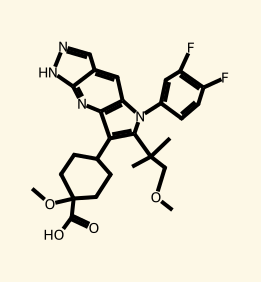 COCC(C)(C)c1c(C2CCC(OC)(C(=O)O)CC2)c2nc3[nH]ncc3cc2n1-c1ccc(F)c(F)c1